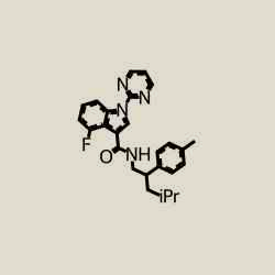 Cc1ccc(C(CNC(=O)c2cn(-c3ncccn3)c3cccc(F)c23)CC(C)C)cc1